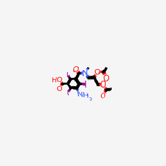 CC(=O)OCC(CN(C)C(=O)c1c(I)c(N)c(I)c(C(=O)O)c1I)OC(C)=O